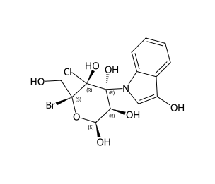 OC[C@@]1(Br)O[C@H](O)[C@H](O)[C@](O)(n2cc(O)c3ccccc32)[C@@]1(O)Cl